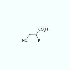 N#CCC(F)C(=O)O